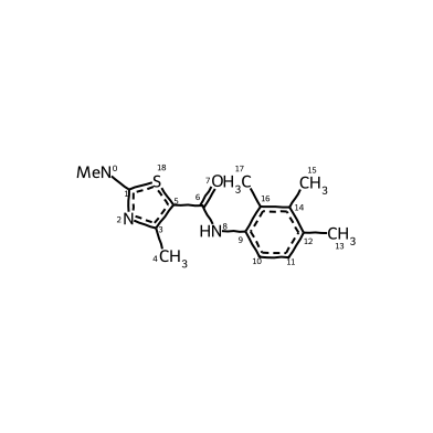 CNc1nc(C)c(C(=O)Nc2ccc(C)c(C)c2C)s1